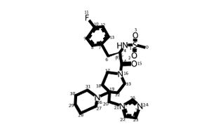 CS(=O)(=O)N[C@H](Cc1ccc(F)cc1)C(=O)N1CCC(Cn2ccnc2)(N2CCCCC2)CC1